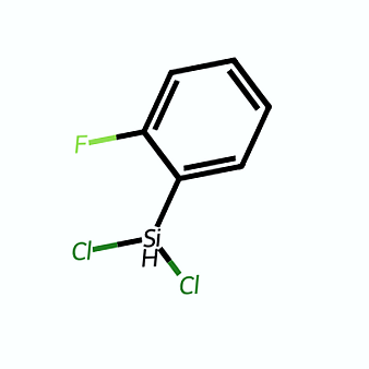 Fc1ccccc1[SiH](Cl)Cl